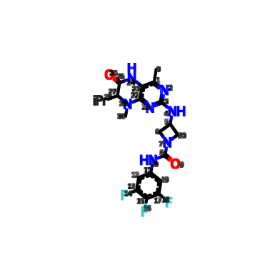 Cc1nc(NC2CN(C(=O)Nc3cc(F)c(F)c(F)c3)C2)nc2c1NC(=O)C(C(C)C)N2C